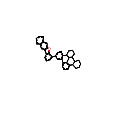 c1cc2c3c(c1)C1CCCCC1C1CCCC(c4ccc(-c5cccc6c5oc5cc7ccccc7cc56)cc4-2)C31